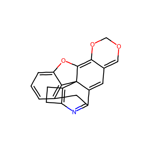 C1=C2C=C3C4=NC5=C(CC5)C35C(=C2OCO1)Oc1cccc(c15)C4